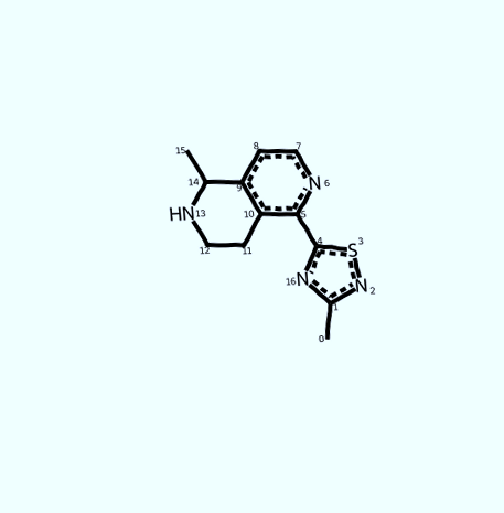 Cc1nsc(-c2nccc3c2CCNC3C)n1